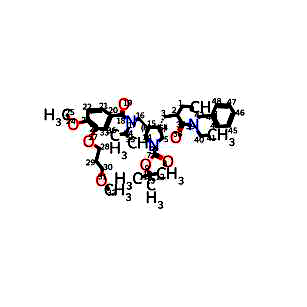 CCC(C[C@@H]1CN(C(=O)OC(C)(C)C)C[C@H]1CN(C(=O)c1ccc(OC)c(OCCCOC)c1)C(C)C)C(=O)N(CC)Cc1ccccc1